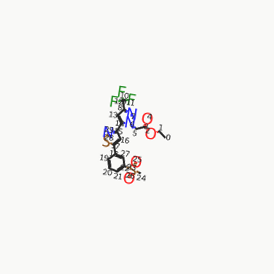 CCOC(=O)Cn1nc(C(F)(F)F)cc1-c1cc(-c2cccc(S(C)(=O)=O)c2)sn1